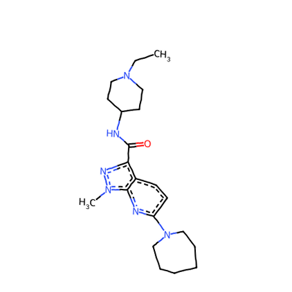 CCN1CCC(NC(=O)c2nn(C)c3nc(N4CCCCCC4)ccc23)CC1